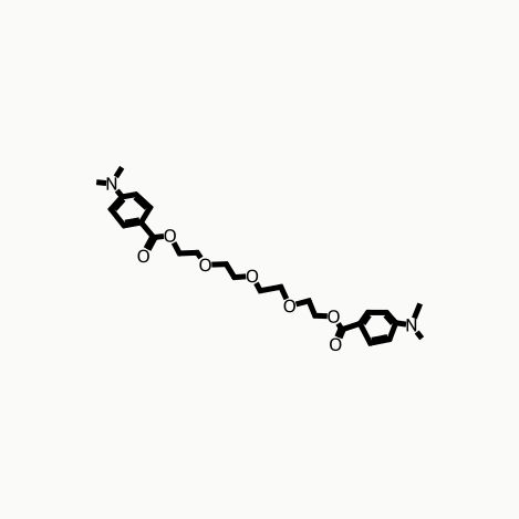 CN(C)c1ccc(C(=O)OCCOCCOCCOCCOC(=O)c2ccc(N(C)C)cc2)cc1